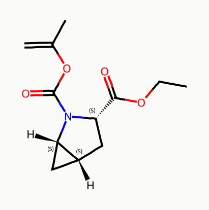 C=C(C)OC(=O)N1[C@H](C(=O)OCC)C[C@@H]2C[C@@H]21